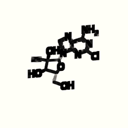 C#C[C@@]1(O)[C@H](O)[C@@H](CO)O[C@H]1n1cnc2c(N)nc(Cl)nc21